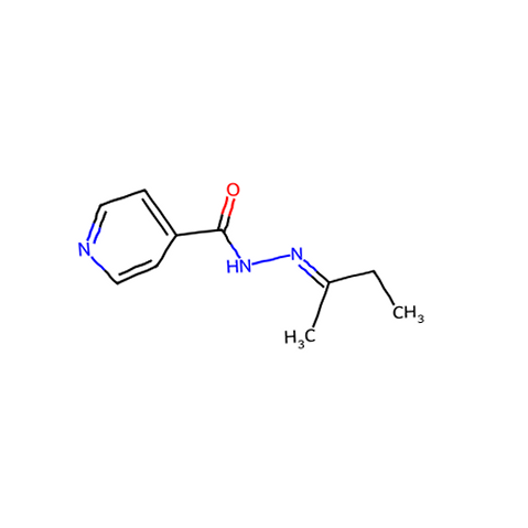 CC/C(C)=N/NC(=O)c1ccncc1